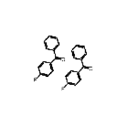 O=C(c1ccccc1)c1ccc(F)cc1.O=C(c1ccccc1)c1ccc(F)cc1